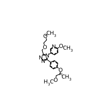 COCCOCc1nnc(-c2ccc(O[C@H](C)COC)cc2)n1-c1ccc(OC)nc1